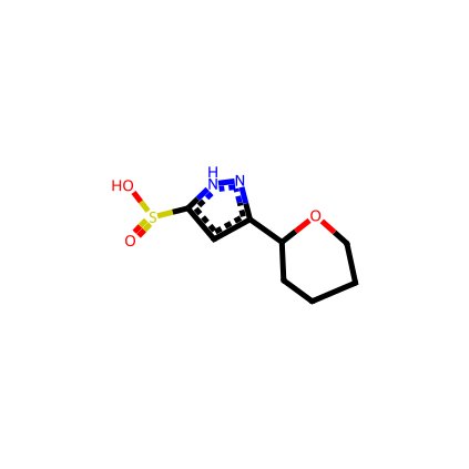 O=S(O)c1cc(C2CCCCO2)n[nH]1